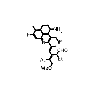 CCC(C=O)C(/C=C(\C)c1nc2cc(F)c(C)c3c2c(c1CC(C)C)C(N)CC3)=C(\COC)C(C)=O